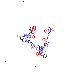 CC[C@@]1(O)C(=O)OCc2c1cc1n(c2=O)Cc2c-1nc1cc(F)c(C)c3c1c2[C@@H](N1CC(COCNC(=O)CNC(=O)[C@H](Cc2ccccc2)NC(=O)CNC(=O)CNC(=O)CCCCCN2C(=O)C=CC2=O)C1)CC3